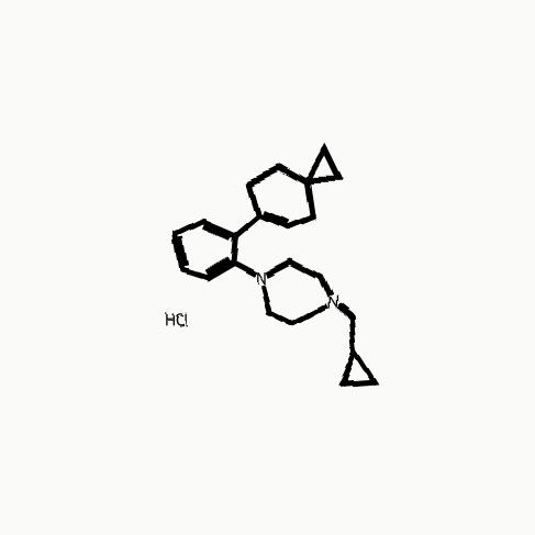 C1=C(c2ccccc2N2CCN(CC3CC3)CC2)CCC2(C1)CC2.Cl